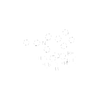 Bc1c(B)c(B)c2c(oc3c(-c4ccc(C5(c6ccccc6)c6ccccc6-c6ccccc65)cc4)c(B)c(B)c(B)c32)c1-c1ccc(N(c2ccccc2)c2ccc(-c3ccccc3)cc2)cc1